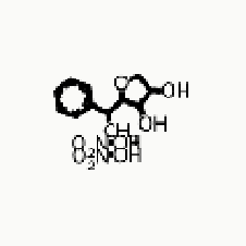 CC(c1ccccc1)C1OCC(O)C1O.O=[N+]([O-])O.O=[N+]([O-])O